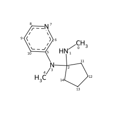 CNC1(N(C)c2[c]nccc2)CCCC1